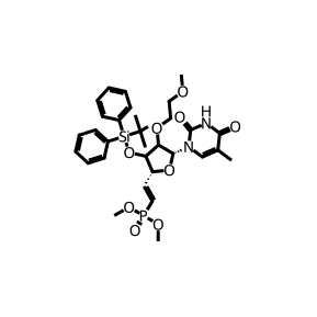 COCCOC1C(O[Si](c2ccccc2)(c2ccccc2)C(C)(C)C)[C@@H](/C=C/P(=O)(OC)OC)O[C@H]1n1cc(C)c(=O)[nH]c1=O